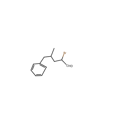 CC(Cc1ccccc1)CC(Br)C=O